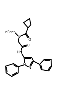 CCCCCN(CC(=O)Nc1cc(-c2ccccc2)nn1-c1ccccc1)C(=O)C1CCC1